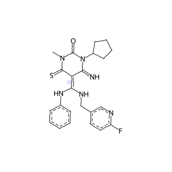 CN1C(=O)N(C2CCCC2)C(=N)/C(=C(\NCc2ccc(F)nc2)Nc2ccccc2)C1=S